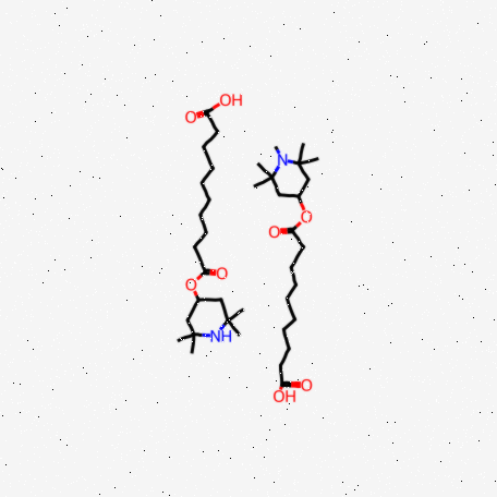 CC1(C)CC(OC(=O)CCCCCCCCC(=O)O)CC(C)(C)N1.CN1C(C)(C)CC(OC(=O)CCCCCCCCC(=O)O)CC1(C)C